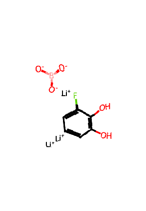 Oc1cccc(F)c1O.[Li+].[Li+].[Li+].[O-]B([O-])[O-]